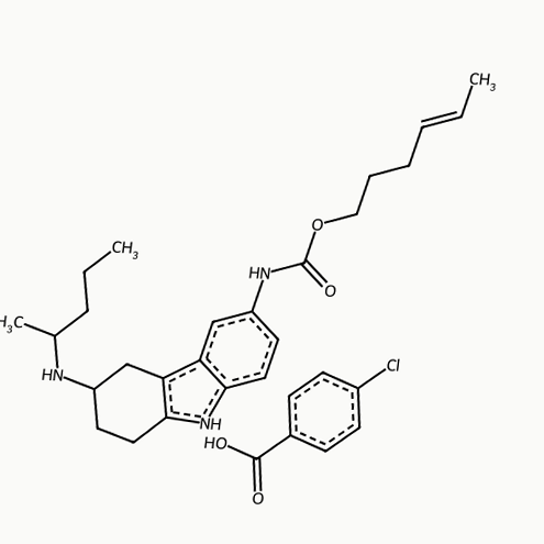 CC=CCCCOC(=O)Nc1ccc2[nH]c3c(c2c1)CC(NC(C)CCC)CC3.O=C(O)c1ccc(Cl)cc1